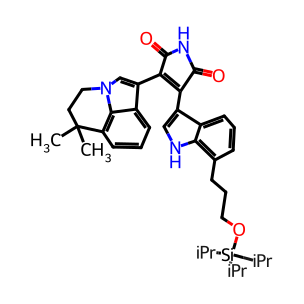 CC(C)[Si](OCCCc1cccc2c(C3=C(c4cn5c6c(cccc46)C(C)(C)CC5)C(=O)NC3=O)c[nH]c12)(C(C)C)C(C)C